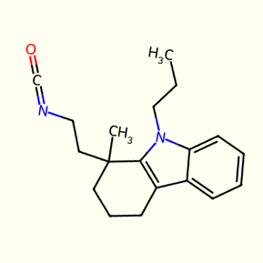 CCCn1c2c(c3ccccc31)CCCC2(C)CCN=C=O